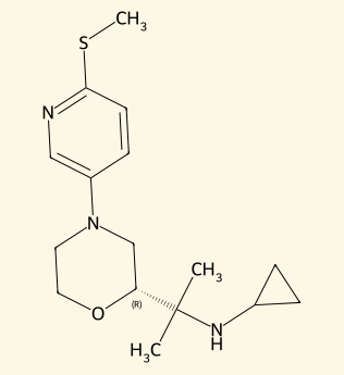 CSc1ccc(N2CCO[C@@H](C(C)(C)NC3CC3)C2)cn1